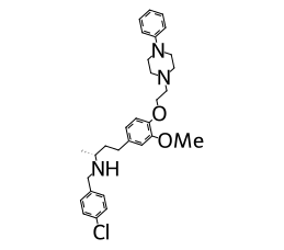 COc1cc(CC[C@@H](C)NCc2ccc(Cl)cc2)ccc1OCCN1CCN(c2ccccc2)CC1